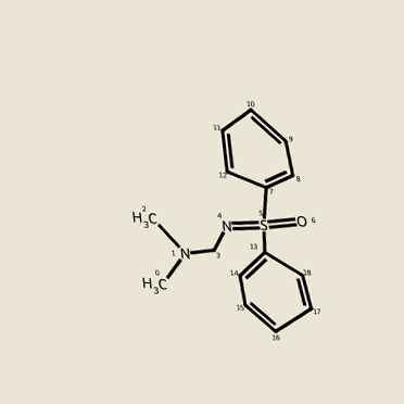 CN(C)CN=S(=O)(c1ccccc1)c1ccccc1